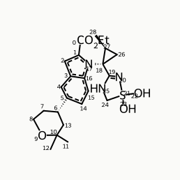 CCOC(=O)c1cc2cc([C@H]3CCOC(C)(C)C3)ccc2n1[C@@]1(C2=NS(O)(O)CN2)C[C@@H]1C